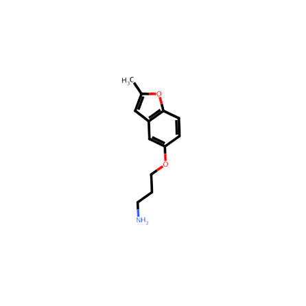 Cc1cc2cc(OCCCN)ccc2o1